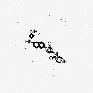 N[C@H]1C[C@H](NC2CCc3cc(-n4ccc(NC(=O)N5CCNCC5)nc4=O)ccc3C2)C1